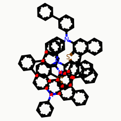 c1ccc(-c2cccc(N(c3ccccc3)c3cc4ccccc4c4c3sc3c(N(c5ccccc5)c5cccc(-c6ccccc6-c6ccc(N(c7ccccc7)c7cc8ccccc8c8c7sc7c(N(c9ccccc9)c9ccccc9-c9ccccc9)cc9ccccc9c78)c(-c7ccccc7)c6)c5)cc5ccccc5c34)c2)cc1